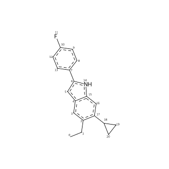 CCc1cc2cc(-c3ccc(F)cc3)[nH]c2cc1C1CC1